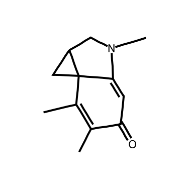 CC1=C(C)C23CC2CN(C)C3=CC1=O